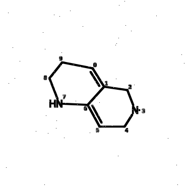 C1=C2C[N]CC=C2NCC1